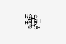 O=C(O)C(=O)O.O=C(O)C(=O)O.[Mn]